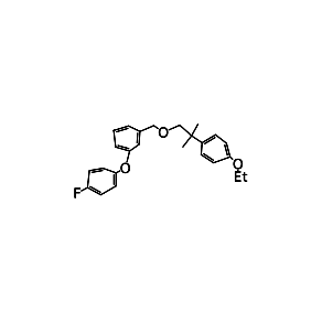 CCOc1ccc(C(C)(C)COCc2cccc(Oc3ccc(F)cc3)c2)cc1